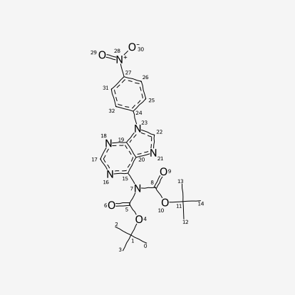 CC(C)(C)OC(=O)N(C(=O)OC(C)(C)C)c1ncnc2c1ncn2-c1ccc([N+](=O)[O-])cc1